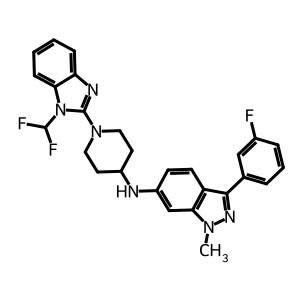 Cn1nc(-c2cccc(F)c2)c2ccc(NC3CCN(c4nc5ccccc5n4C(F)F)CC3)cc21